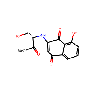 COC(=O)[C@H](CO)NC1=CC(=O)c2cccc(O)c2C1=O